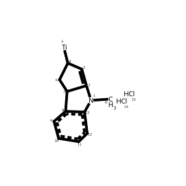 CN1C2=C[CH]([Ti])CC2c2ccccc21.Cl.Cl